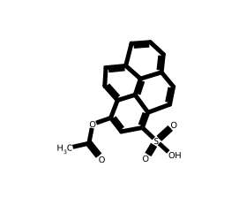 CC(=O)Oc1cc(S(=O)(=O)O)c2ccc3cccc4ccc1c2c43